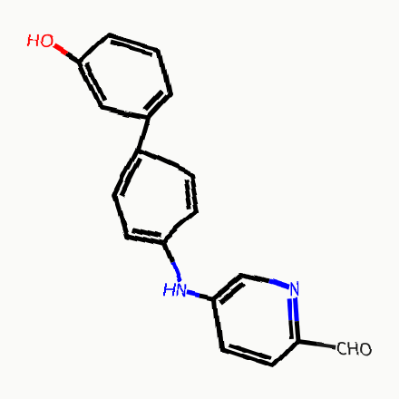 O=Cc1ccc(Nc2ccc(-c3cccc(O)c3)cc2)cn1